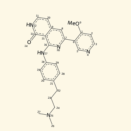 COc1ccncc1-c1cc2cc[nH]c(=O)c2c(Nc2ccc(CCCN(C)C)cc2)n1